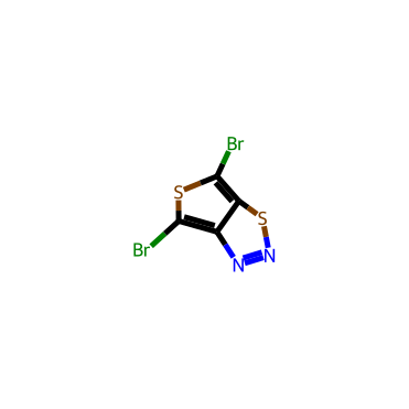 Brc1sc(Br)c2snnc12